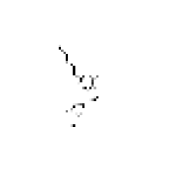 CCCCCCc1nc(N)c2ncn([C@@H]3O[C@H](CO)[C@@H](O)[C@@H]3O)c2n1